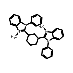 C[n+]1c(C2CCCC(c3n(-c4ccccc4)c4ccccc4[n+]3C)C2)n(-c2ccccc2)c2ccccc21